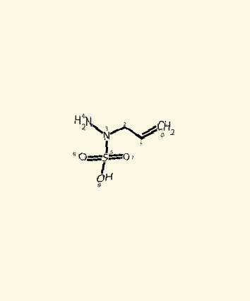 C=CCN(N)S(=O)(=O)O